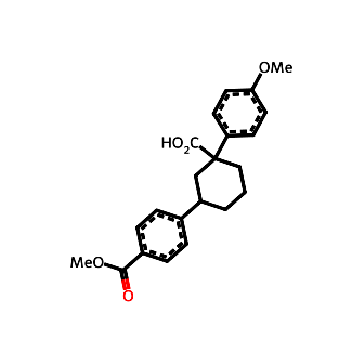 COC(=O)c1ccc(C2CCCC(C(=O)O)(c3ccc(OC)cc3)C2)cc1